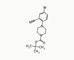 CC(C)(C)OC(=O)N1CCN(c2ccc(Br)cc2C#N)CC1